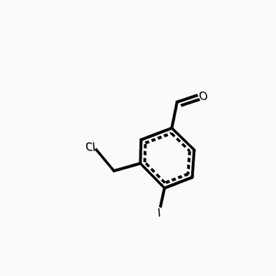 O=Cc1ccc(I)c(CCl)c1